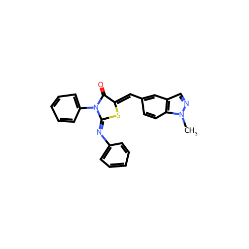 Cn1ncc2cc(/C=C3\S/C(=N\c4ccccc4)N(c4ccccc4)C3=O)ccc21